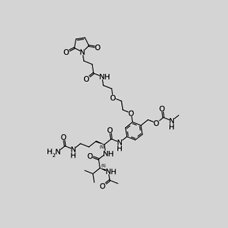 CNC(=O)OCc1ccc(NC(=O)[C@H](CCCNC(N)=O)NC(=O)[C@@H](NC(C)=O)C(C)C)cc1OCCOCCNC(=O)CCN1C(=O)C=CC1=O